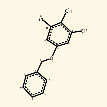 Oc1c(Cl)cc(OCc2ccccc2)cc1Cl